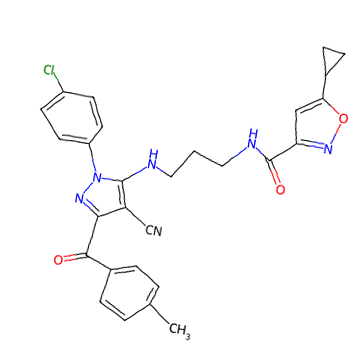 Cc1ccc(C(=O)c2nn(-c3ccc(Cl)cc3)c(NCCCNC(=O)c3cc(C4CC4)on3)c2C#N)cc1